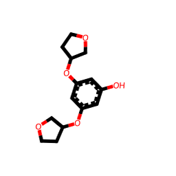 Oc1cc(OC2CCOC2)cc(OC2CCOC2)c1